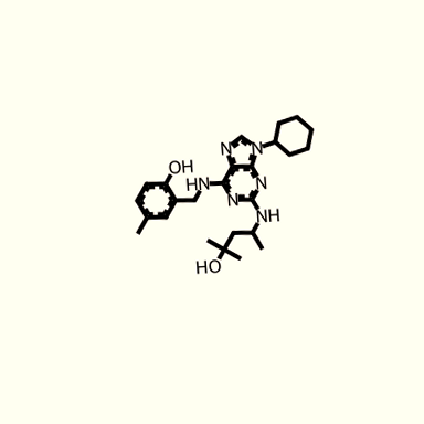 Cc1ccc(O)c(CNc2nc(NC(C)CC(C)(C)O)nc3c2ncn3C2CCCCC2)c1